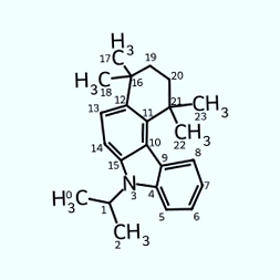 CC(C)n1c2ccccc2c2c3c(ccc21)C(C)(C)CCC3(C)C